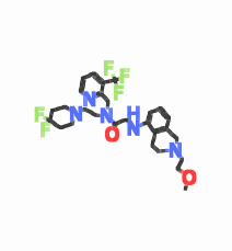 COCCN1CCc2c(cccc2NCC(=O)N(CCN2CCC(F)(F)CC2)Cc2ncccc2C(F)(F)F)C1